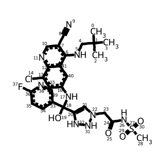 CC(C)(C)CNc1c(C#N)cnc2c(Cl)cc(NC(O)(C3=CN(CC(=O)NS(C)(=O)=O)NN3)c3ccc(F)nc3)cc12